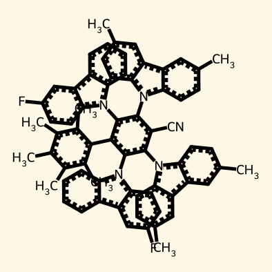 Cc1ccc2c(c1)c1cc(C)ccc1n2-c1c(C#N)c(-n2c3ccc(C)cc3c3cc(C)ccc32)c(-n2c3ccccc3c3cc(F)ccc32)c(-c2c(C)c(C)c(C)c(C)c2C)c1-n1c2ccccc2c2cc(F)ccc21